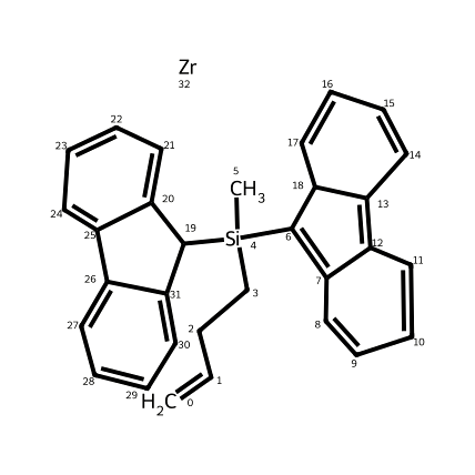 C=CCC[Si](C)(C1=c2ccccc2=C2C=CC=CC21)C1c2ccccc2-c2ccccc21.[Zr]